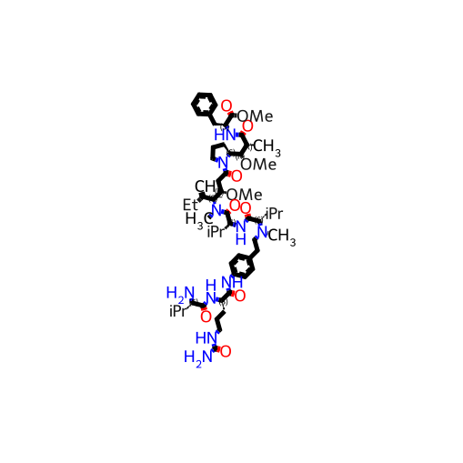 C=C(CC)[C@@H]([C@@H](CC(=O)N1CCC[C@H]1[C@H](OC)[C@@H](C)C(=O)N[C@@H](Cc1ccccc1)C(=O)OC)OC)N(C)C(=O)[C@@H](NC(=O)[C@H](C(C)C)N(C)CCc1ccc(NC(=O)[C@H](CCCNC(N)=O)NC(=O)[C@@H](N)C(C)C)cc1)C(C)C